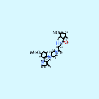 COc1ccc(N(Cc2cnccc2C)C2CCN(C(C)CCNC(=O)c3c(C)ccc(C#N)c3C)CC2)cc1